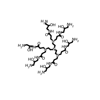 NCC(O)CNC(=O)CCN(CCC(=O)NCC(O)CN)CCN(CCN(CCC(=O)NCC(O)CN)CCC(=O)NCC(O)CN)CCN(CCC(=O)NCC(O)CN)CCC(=O)NCC(O)CN